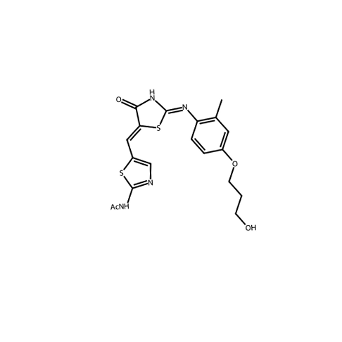 CC(=O)Nc1ncc(/C=C2\S/C(=N\c3ccc(OCCCO)cc3C)NC2=O)s1